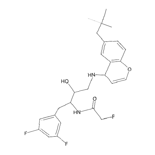 CC(C)(C)Cc1ccc2c(c1)C(NCC(O)C(Cc1cc(F)cc(F)c1)NC(=O)CF)C=CO2